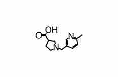 Cc1ccc(CN2CCC(C(=O)O)C2)cn1